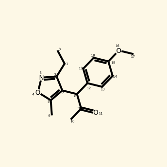 CCc1noc(C)c1C(C(C)=O)c1ccc(OC)cc1